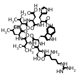 CC(C)C[C@H](NC(=O)[C@@H](NC(=O)[C@H](Cc1c[nH]c2ccccc12)NC(=O)[C@H](CO)NC(=O)[C@@H](N)CCCNC(=N)N)C(C)C)C(=O)N[C@H](C(=O)N[C@@H](CC(=O)O)C(=O)N[C@@H](Cc1c[nH]cn1)C(=O)O)C(C)C